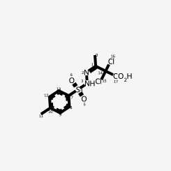 CC(=NNS(=O)(=O)c1ccc(C)cc1)C(Cl)(Cl)C(=O)O